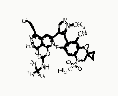 [2H]C([2H])([2H])NC(=O)Oc1nc(-c2cnn(C)c2-c2c(F)cc3c(c2C#N)OC2(CC2)CN3S(C)(=O)=O)cc2c(CCl)n[nH]c(=O)c12